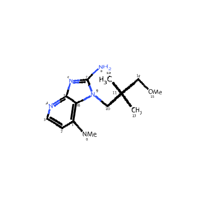 CNc1ccnc2nc(N)n(CC(C)(C)COC)c12